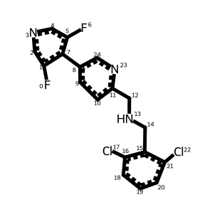 Fc1cncc(F)c1-c1ccc(CNCc2c(Cl)cccc2Cl)nc1